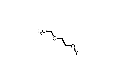 CCOCC[O][Y]